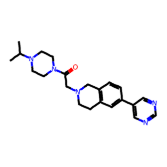 CC(C)N1CCN(C(=O)CN2CCc3cc(-c4cncnc4)ccc3C2)CC1